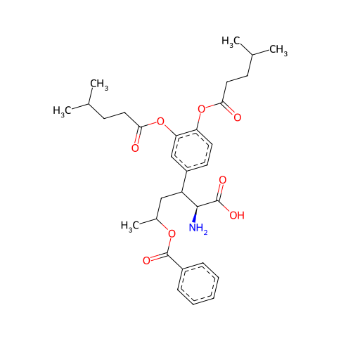 CC(C)CCC(=O)Oc1ccc(C(CC(C)OC(=O)c2ccccc2)[C@H](N)C(=O)O)cc1OC(=O)CCC(C)C